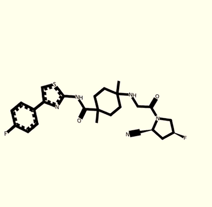 CC1(NCC(=O)N2C[C@@H](F)C[C@H]2C#N)CCC(C)(C(=O)Nc2nc(-c3ccc(F)cc3)cs2)CC1